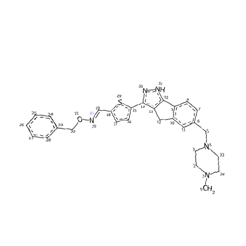 CN1CCN(Cc2ccc3c(c2)Cc2c(-c4ccc(/C=N/OCc5ccccc5)s4)n[nH]c2-3)CC1